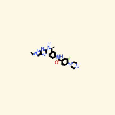 CCn1cc2ncc(N[C@@H](C)c3cccc(NC(=O)c4ccc(N5CCN(C)CC5)c(F)c4)c3)nc2n1